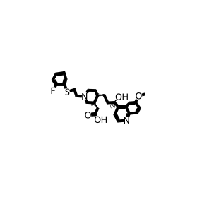 COc1ccc2nccc([C@@H](O)CC[C@@H]3CCN(CCSc4ccccc4F)C[C@@H]3CC(=O)O)c2c1